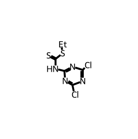 CCSC(=S)Nc1nc(Cl)nc(Cl)n1